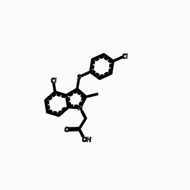 Cc1c(Sc2ccc(Cl)cc2)c2c(Cl)cccc2n1CC(=O)O